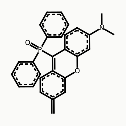 C=c1ccc2c(c1)Oc1cc(N(C)C)ccc1C=2P(=O)(c1ccccc1)c1ccccc1